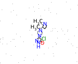 CCc1ncccc1[C@H](C)N1CCN(c2cn[nH]c(=O)c2Cl)CC1